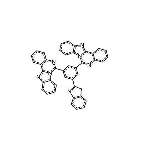 c1ccc2c(c1)CC(c1cc(-c3nc4ccccc4c4nc5ccccc5n34)cc(-c3nc4ccccc4c4nc5ccccc5n34)c1)=N2